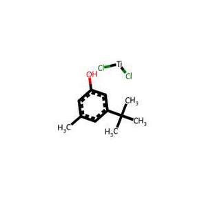 Cc1cc(O)cc(C(C)(C)C)c1.[Cl][Ti][Cl]